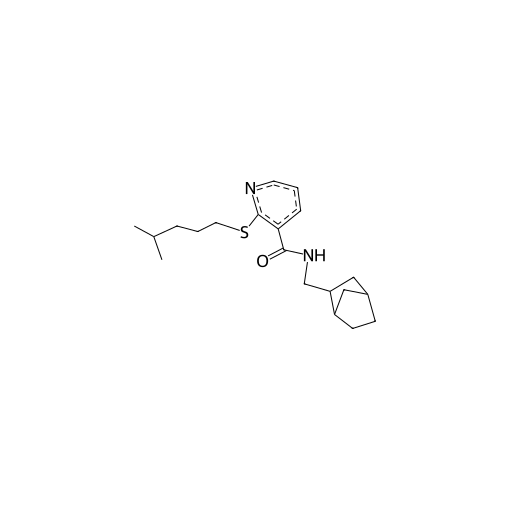 CC(C)CCCSc1ncccc1C(=O)NCC1CC2CCC1C2